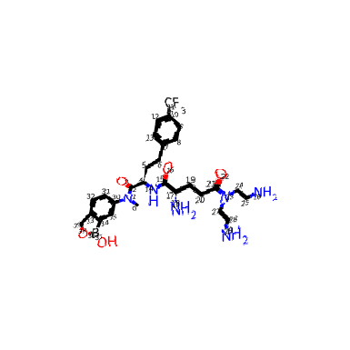 CN(C(=O)[C@@H](CCc1ccc(C(F)(F)F)cc1)NC(=O)[C@@H](N)CCC(=O)N(CCN)CCN)c1ccc2c(c1)B(O)OC2